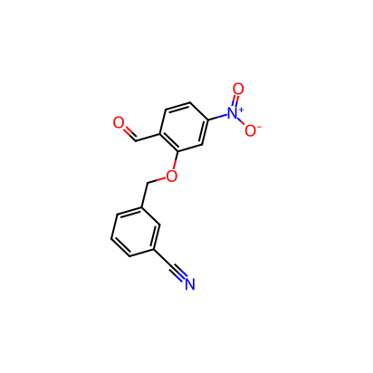 N#Cc1cccc(COc2cc([N+](=O)[O-])ccc2C=O)c1